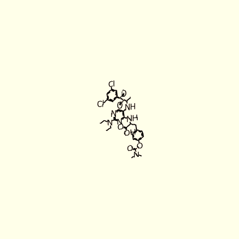 CCN(CC)c1ncc(NC(C)S(=O)(=O)c2cc(Cl)cc(Cl)c2)c(NC(Cc2ccc(OC(=O)N(C)C)cc2)C(=O)O)n1